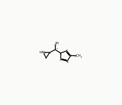 CC1=CC(C(C(C)C)C2CN2)C=C1